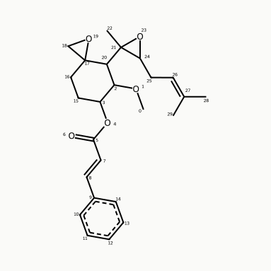 COC1C(OC(=O)C=Cc2ccccc2)CCC2(CO2)C1C1(C)OC1CC=C(C)C